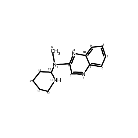 CN(c1cnc2ccccc2n1)C1CCCCN1